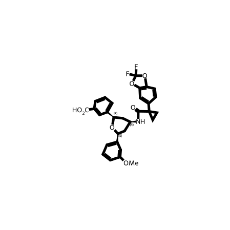 COc1cccc([C@@H]2C[C@H](NC(=O)C3(c4ccc5c(c4)OC(F)(F)O5)CC3)C[C@H](c3cccc(C(=O)O)c3)O2)c1